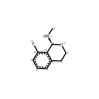 CN[C@H]1OCCc2cccc(F)c21